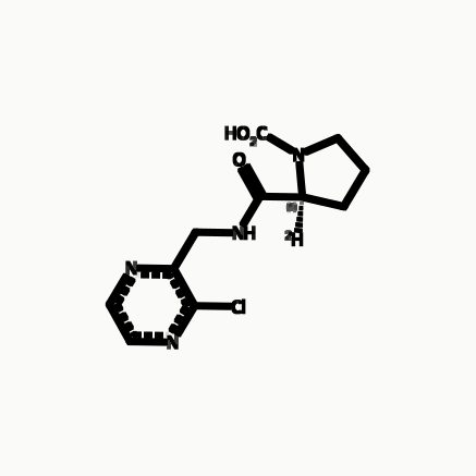 [2H][C@@]1(C(=O)NCc2nccnc2Cl)CCCN1C(=O)O